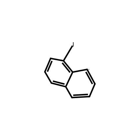 Ic1cccc2ccc[c]c12